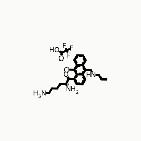 C=CCNCc1c2ccccc2c(Cl)c2c(C(=O)[C@@H](N)CCCCN)cccc12.O=C(O)C(F)(F)F